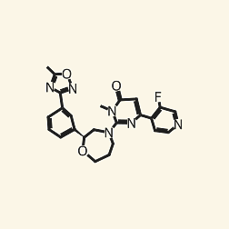 Cc1nc(-c2cccc([C@H]3CN(c4nc(-c5ccncc5F)cc(=O)n4C)CCCO3)c2)no1